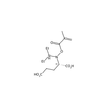 C=C(C)C(=O)ON([C@@H](CCC(=O)O)C(=O)O)[SiH](CC)CC